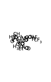 CCN(c1cc(-c2ccc3c(c2)CCC32CCN(CC(F)(F)C(F)(F)F)CC2)cc(C(=O)NCC2=C(OC)C=C(C)NC2=C=O)c1C)C1CCOCC1